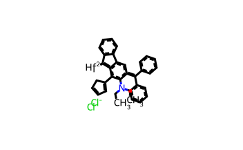 CCN(CC)c1c(C2=CC=CC2)c2c(cc1=C(c1ccccc1)c1ccccc1)-c1ccccc1[C]=2[Hf+2].[Cl-].[Cl-]